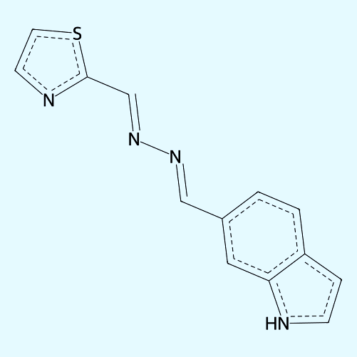 C(=N\N=C\c1nccs1)/c1ccc2cc[nH]c2c1